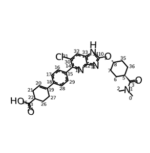 CN(C)C(=O)[C@H]1CC[C@H](Oc2nc3nc(-c4ccc(C5=CCC(C(=O)O)CC5)cc4)c(Cl)cc3[nH]2)CC1